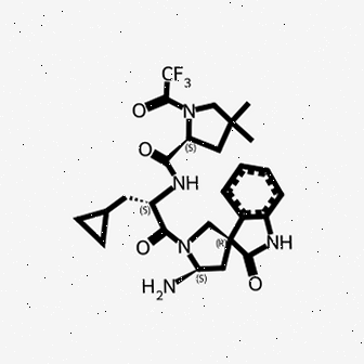 CC1(C)C[C@@H](C(=O)N[C@@H](CC2CC2)C(=O)N2C[C@]3(C[C@H]2N)C(=O)Nc2ccccc23)N(C(=O)C(F)(F)F)C1